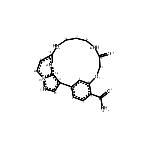 NC(=O)c1ccc2cc1OCC(=O)NCCCNc1ccn3ncc-2c3n1